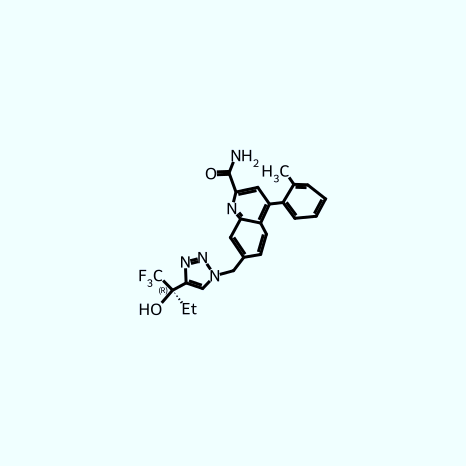 CC[C@@](O)(c1cn(Cc2ccc3c(-c4ccccc4C)cc(C(N)=O)nc3c2)nn1)C(F)(F)F